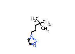 CC(C)(C)CCCn1ccnn1